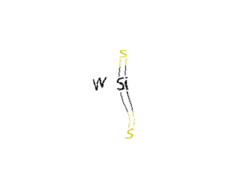 S=[Si]=S.[W]